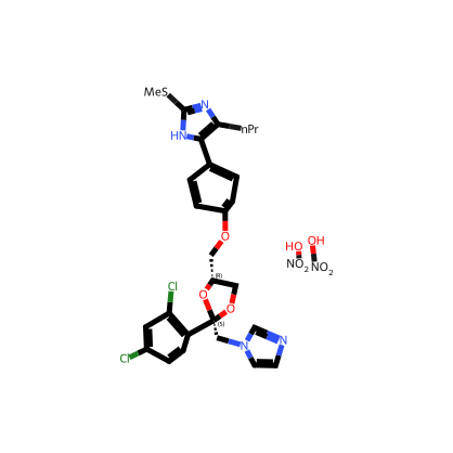 CCCc1nc(SC)[nH]c1-c1ccc(OC[C@@H]2CO[C@@](Cn3ccnc3)(c3ccc(Cl)cc3Cl)O2)cc1.O=[N+]([O-])O.O=[N+]([O-])O